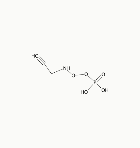 C#CCNOOP(=O)(O)O